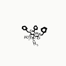 C[C@@H](C(=O)O)N(C(=O)OCc1ccccc1)[C@H](NC(=O)c1ccccc1)C(=O)CCc1ccccc1